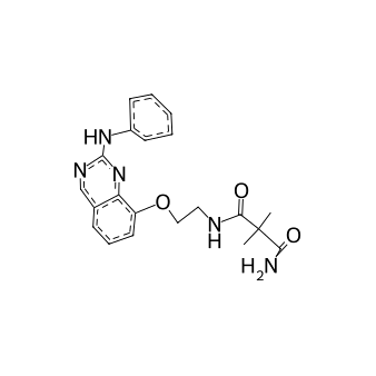 CC(C)(C(N)=O)C(=O)NCCOc1cccc2cnc(Nc3ccccc3)nc12